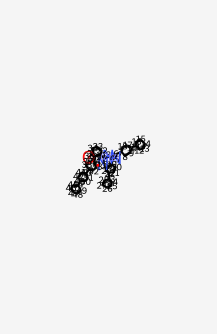 C=N/C(=N\C(=N/Cc1ccc(-c2ccccc2)cc1)c1ccc(-c2ccccc2)cc1)c1cccc2oc3cc(-c4ccc(-c5ccccc5)cc4)ccc3c12